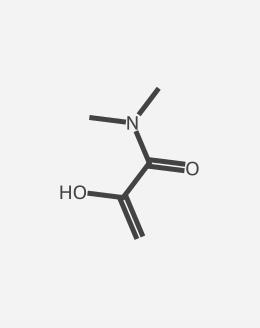 C=C(O)C(=O)N(C)C